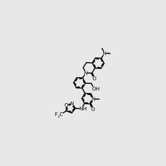 CN(C)c1ccc2c(c1)CCN(c1cccc(-c3cc(Nc4cc(C(F)(F)F)on4)c(=O)n(C)c3)c1CO)C2=O